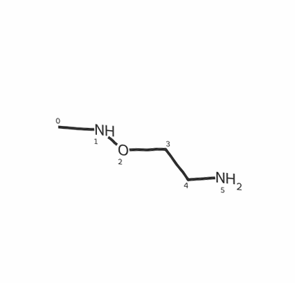 CNOCCN